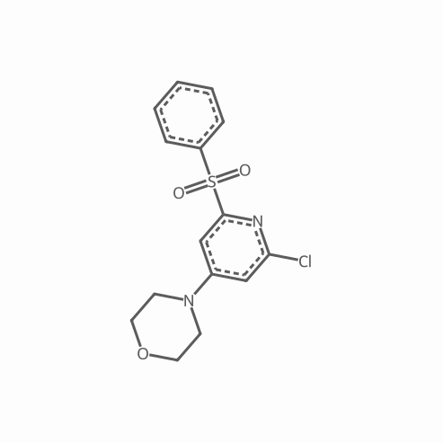 O=S(=O)(c1ccccc1)c1cc(N2CCOCC2)cc(Cl)n1